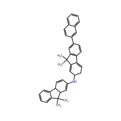 CC1(C)C2=CC(NC3=CC4C(C=C3)c3ccccc3C4(C)C)CC=C2c2ccc(-c3ccc4ccccc4c3)cc21